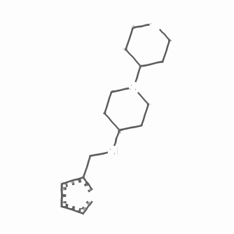 c1coc(CNC2CCN(C3CCOCC3)CC2)c1